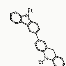 CCN1c2ccccc2Cc2cc(-c3ccc4c(c3)c3ccccc3n4CC)ccc21